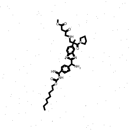 CCCCCCCCOC(=O)NC(=N)c1ccc(C(N)c2nc3cc(C(C)(CNCC(=O)CC(=O)OC)C(=O)N4CCCC4)ccc3n2C)cc1